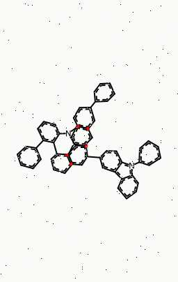 c1ccc(-c2ccc(N(c3cccc(-c4ccc5c(c4)c4ccccc4n5-c4ccccc4)c3)c3cccc(-c4ccccc4)c3-c3ccccc3-c3ccccc3)cc2)cc1